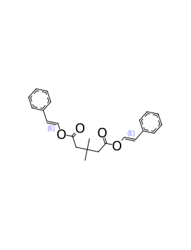 CC(C)(CC(=O)O/C=C/c1ccccc1)CC(=O)O/C=C/c1ccccc1